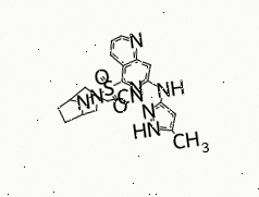 Cc1cc(Nc2cc3ncccc3c(S(=O)(=O)N3CC4CCC(C3)N4CCC#N)n2)n[nH]1